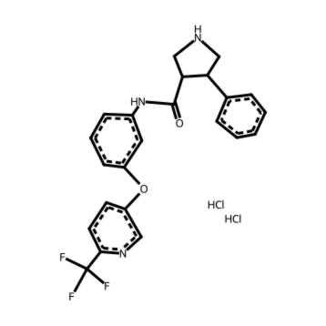 Cl.Cl.O=C(Nc1cccc(Oc2ccc(C(F)(F)F)nc2)c1)C1CNCC1c1ccccc1